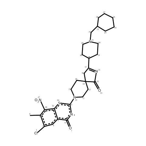 Cc1c(Cl)cc2c(=O)nc(N3CCC4(CC3)CC(C3CCN(CC5CCCCC5)CC3)=NC4=O)sc2c1[N+](=O)[O-]